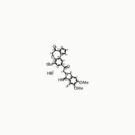 Br.COc1cc2c(c(F)c1OC)C(=N)N(CC(=O)c1cc3c(c(C(C)(C)C)c1)OCC(=O)c1cccn1-3)C2